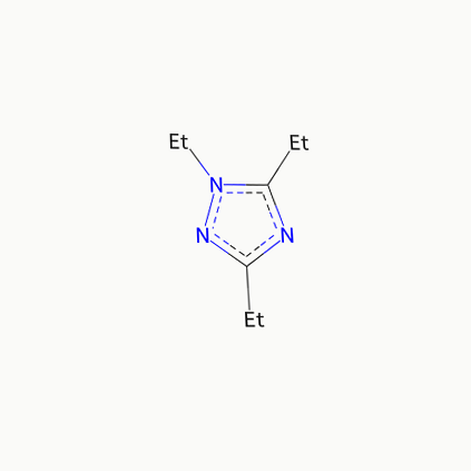 CCc1nc(CC)n(CC)n1